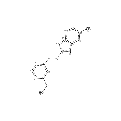 OCc1cccc(OCc2nc3cc(C(F)(F)F)ccc3s2)c1